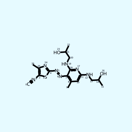 [C-]#[N+]c1sc(N=Nc2c(C)cc(NCC(C)O)nc2NCC(C)O)nc1C